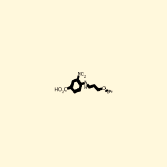 CC(C)OCCCNc1ccc(C(=O)O)cc1[N+](=O)[O-]